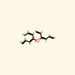 C=C/C=C(\C=C)OC(/C=C\C)=C/C=C